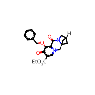 CCOC(=O)c1cn2c(c(OCc3ccccc3)c1=O)C(=O)N1C[C@H]3C[C@]1(C2)C3